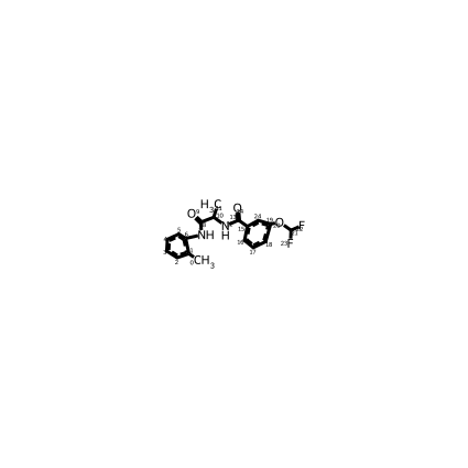 Cc1ccccc1NC(=O)C(C)NC(=O)c1cccc(OC(F)F)c1